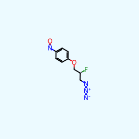 [N-]=[N+]=NC[C@H](F)COc1ccc(N=O)cc1